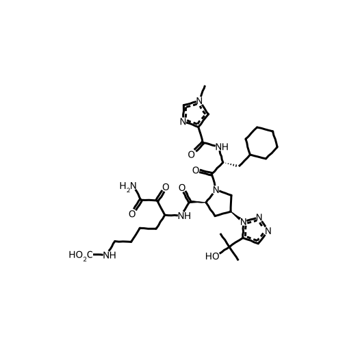 Cn1cnc(C(=O)N[C@H](CC2CCCCC2)C(=O)N2C[C@@H](n3nncc3C(C)(C)O)C[C@H]2C(=O)NC(CCCCNC(=O)O)C(=O)C(N)=O)c1